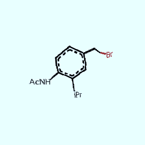 CC(=O)Nc1ccc(CBr)cc1C(C)C